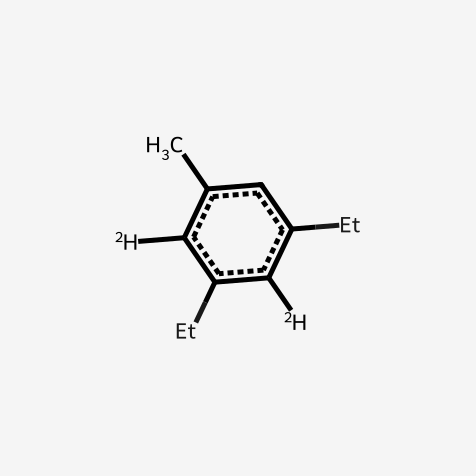 [2H]c1c(C)cc(CC)c([2H])c1CC